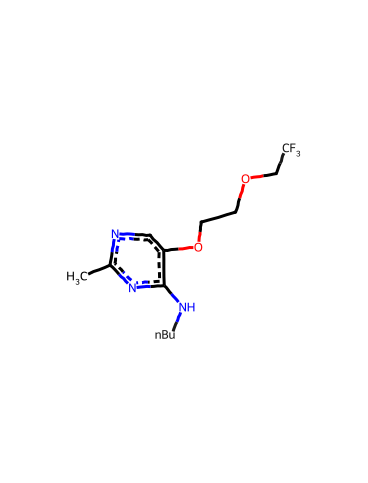 CCCCNc1nc(C)ncc1OCCOCC(F)(F)F